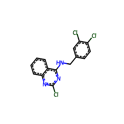 Clc1nc(NCc2ccc(Cl)c(Cl)c2)c2ccccc2n1